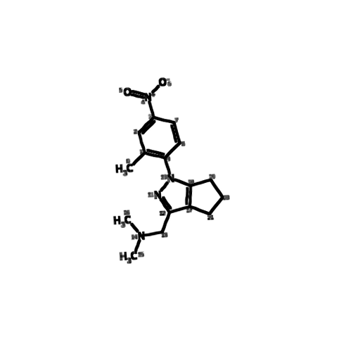 Cc1cc([N+](=O)[O-])ccc1-n1nc(CN(C)C)c2c1CCC2